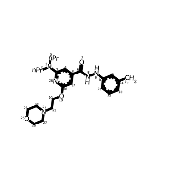 CCCN(CCC)c1cc(C(=O)NNc2cccc(C)c2)cc(OCCN2CCOCC2)n1